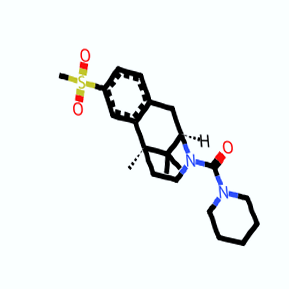 CC1(C)[C@H]2Cc3ccc(S(C)(=O)=O)cc3[C@]1(C)CCN2C(=O)N1CCCCC1